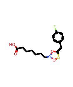 O=C(O)CCCCCCN1OSC(=Cc2ccc(F)cc2)O1